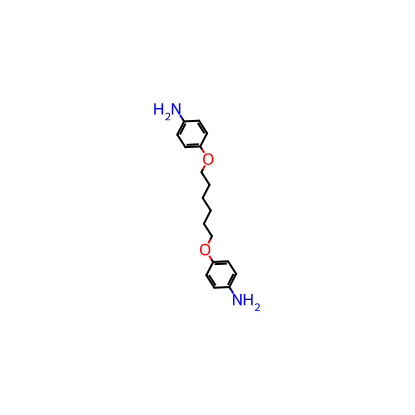 Nc1ccc(OCCCCCCOc2ccc(N)cc2)cc1